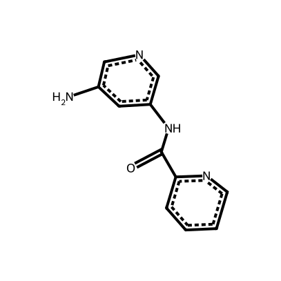 Nc1cncc(NC(=O)c2ccccn2)c1